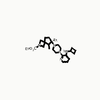 CCOC(=O)N1CC2(CC[C@@](CC)(N3CCN(c4ncccc4NC4CCC4)CC3)C2C)C1